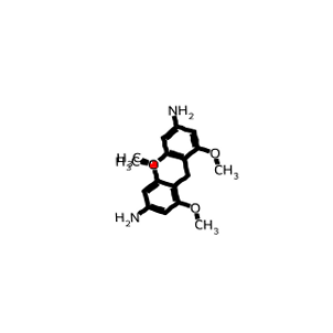 COc1cc(N)cc(OC)c1Cc1c(OC)cc(N)cc1OC